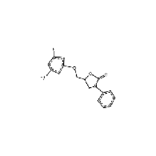 O=C1OC(COc2cc(F)cc(C(F)(F)F)c2)CN1c1ccccc1